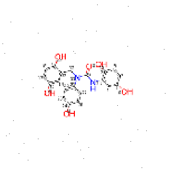 O=C(Nc1cc(O)ccc1O)N(Cc1cc(O)ccc1O)c1ccc(O)cc1